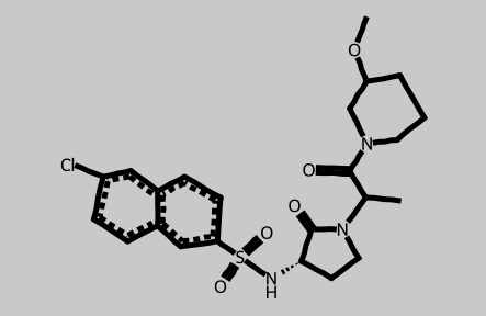 COC1CCCN(C(=O)C(C)N2CC[C@H](NS(=O)(=O)c3ccc4cc(Cl)ccc4c3)C2=O)C1